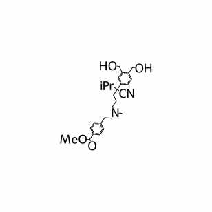 COC(=O)c1ccc(CCN(C)CCCC(C#N)(c2ccc(CO)c(CO)c2)C(C)C)cc1